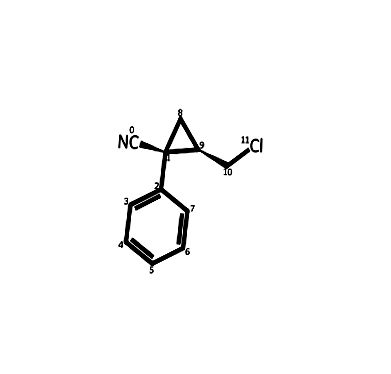 N#C[C@@]1(c2ccccc2)C[C@H]1CCl